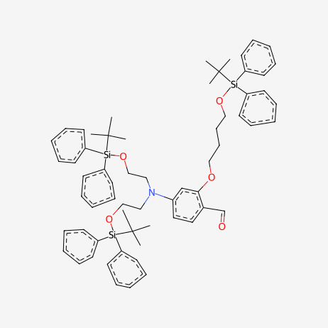 CC(C)(C)[Si](OCCCCOc1cc(N(CCO[Si](c2ccccc2)(c2ccccc2)C(C)(C)C)CCO[Si](c2ccccc2)(c2ccccc2)C(C)(C)C)ccc1C=O)(c1ccccc1)c1ccccc1